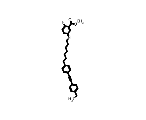 CCc1ccc(C#Cc2ccc(CCCCCCCN=C3C=C(C(=O)OC)C(F)=CC3)cc2)cc1